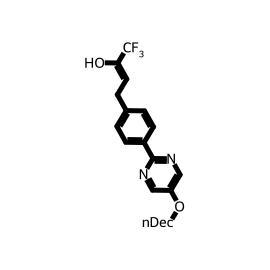 CCCCCCCCCCOc1cnc(-c2ccc(CC=C(O)C(F)(F)F)cc2)nc1